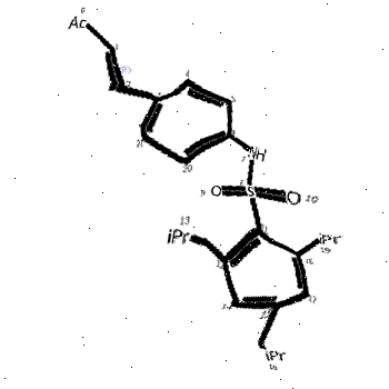 CC(=O)/C=C/c1ccc(NS(=O)(=O)c2c(C(C)C)cc(C(C)C)cc2C(C)C)cc1